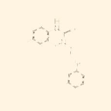 Cc1ccc2c(c1)CN(CCOc1ccccc1)C(=O)N2